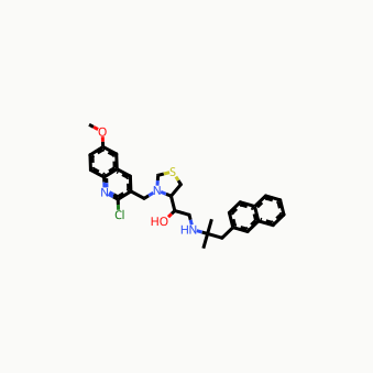 COc1ccc2nc(Cl)c(CN3CSCC3C(O)CNC(C)(C)Cc3ccc4ccccc4c3)cc2c1